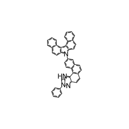 N=C1/C(=N\Nc2ccccc2)C=Cc2ccc3cc(-n4c5ccc6ccccc6c5c5c6ccccc6ccc54)ccc3c21